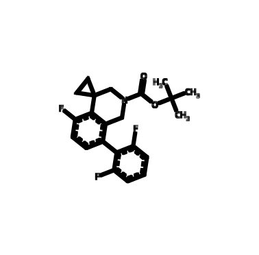 CC(C)(C)OC(=O)N1Cc2c(-c3c(F)cccc3F)ccc(F)c2C2(CC2)C1